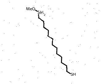 CO[SiH2]CCCCCCCCCCCCCS